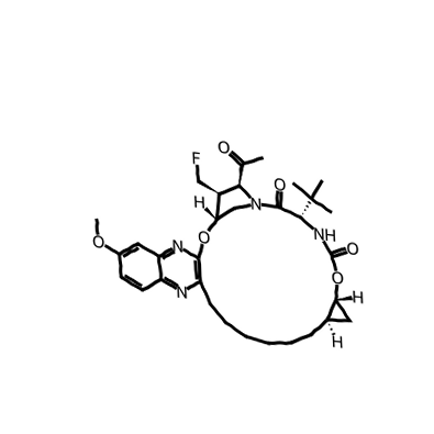 COc1ccc2nc3c(nc2c1)O[C@H]1CN(C(=O)[C@H](C(C)(C)C)NC(=O)O[C@@H]2C[C@H]2CCCCCC3)[C@H](C(C)=O)[C@@H]1CF